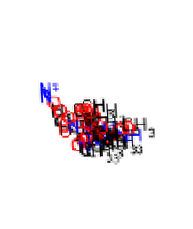 CCOC(=O)c1cc2c(COC(=O)N(C)[C@H](C(=O)N[C@H](C(=O)N(C)[C@@H](C(C)CC)[C@@H](CC(=O)N3CCC[C@H]3[C@H](OC)[C@@H](C)C(=O)NC(Cc3ccccc3)C(=O)OC)OC)C(C)C)C(C)C)ccc(O[C@@H]3O[C@H](COC(C)=O)[C@H](OC(C)=O)[C@H](OC(C)=O)[C@H]3OC(C)=O)c2n1CCOCCOCCOCCN=[N+]=[N-]